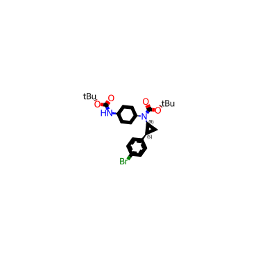 CC(C)(C)OC(=O)N[C@H]1CC[C@H](N(C(=O)OC(C)(C)C)[C@@H]2C[C@H]2c2ccc(Br)cc2)CC1